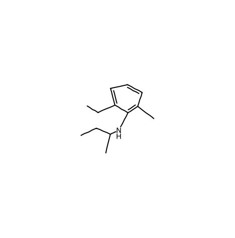 CCc1cccc(C)c1NC(C)CC